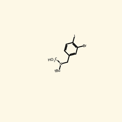 CC(C)(C)N(Cc1ccc(I)c(Br)c1)C(=O)O